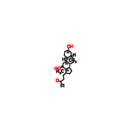 CCC(=O)CCC1CCC2C3CC[C@@H]4C[C@H](O)CC[C@]4(C)[C@H]3C[C@H](O)[C@]12C